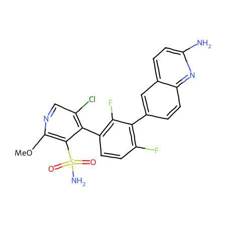 COc1ncc(Cl)c(-c2ccc(F)c(-c3ccc4nc(N)ccc4c3)c2F)c1S(N)(=O)=O